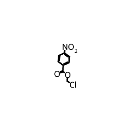 O=C(OCCl)c1ccc([N+](=O)[O-])cc1